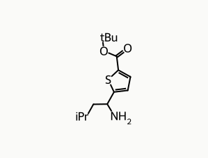 CC(C)CC(N)c1ccc(C(=O)OC(C)(C)C)s1